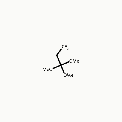 COC(CC(F)(F)F)(OC)OC